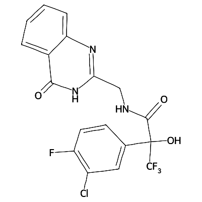 O=C(NCc1nc2ccccc2c(=O)[nH]1)C(O)(c1ccc(F)c(Cl)c1)C(F)(F)F